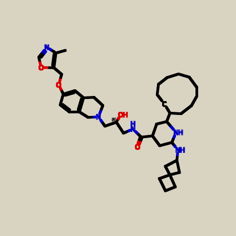 Cc1ncoc1COc1ccc2c(c1)CCN(C[C@@H](O)CNC(=O)C1CC(NC3CC4(CCC4)C3)NC(C3CCCCCCCCCC3)C1)C2